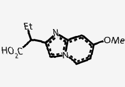 CCC(C(=O)O)c1cn2ccc(OC)cc2n1